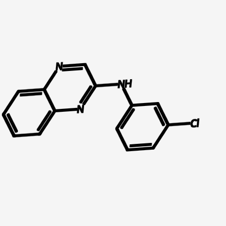 Clc1cccc(Nc2cnc3ccccc3n2)c1